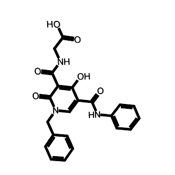 O=C(O)CNC(=O)c1c(O)c(C(=O)Nc2ccccc2)cn(Cc2ccccc2)c1=O